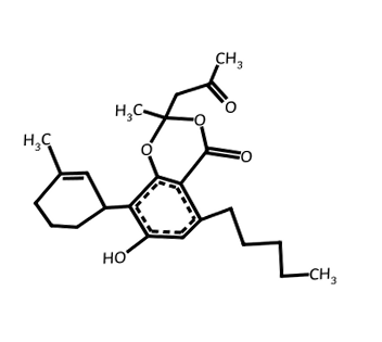 CCCCCc1cc(O)c(C2C=C(C)CCC2)c2c1C(=O)OC(C)(CC(C)=O)O2